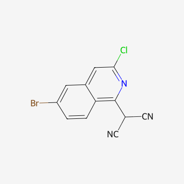 N#CC(C#N)c1nc(Cl)cc2cc(Br)ccc12